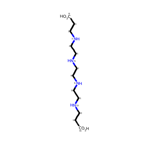 O=C(O)CCNCCNCCNCCNCCC(=O)O